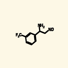 NC(CN=O)c1cccc(C(F)(F)F)c1